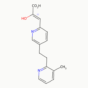 Cc1cccnc1CCc1ccc(/C=C(\O)C(=O)O)nc1